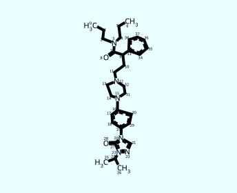 CCCN(CCC)C(=O)C(CCN1CCN(c2ccc(-n3cnn(C(C)C)c3=O)cc2)CC1)c1ccccc1